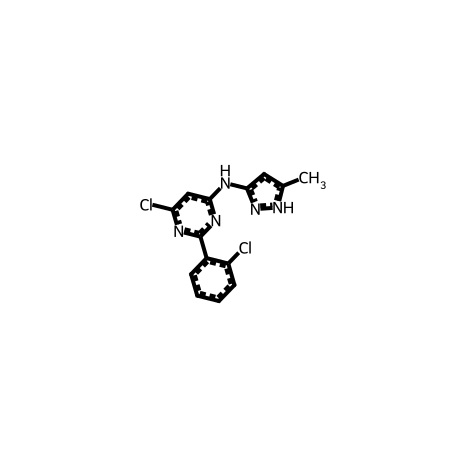 Cc1cc(Nc2cc(Cl)nc(-c3ccccc3Cl)n2)n[nH]1